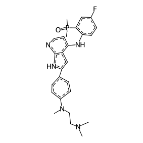 CN(C)CCN(C)c1ccc(-c2cc3c(Nc4ccc(F)cc4P(C)(C)=O)ccnc3[nH]2)cc1